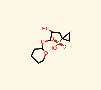 O=S(=O)(O)C1(CC(O)COC2CCCCO2)CC1